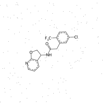 O=C(Cc1cc(Cl)ccc1C(F)(F)F)NC1COc2ncccc21